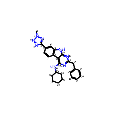 Cn1nnc(-c2ccc3c(c2)[nH]c2nc(Cc4ccccc4)nc(NC4CCCCC4)c23)n1